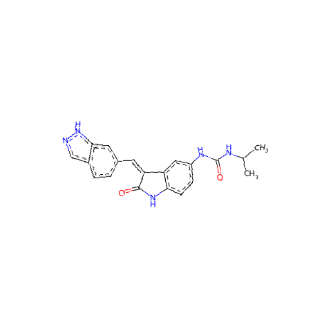 CC(C)NC(=O)Nc1ccc2c(c1)C(=Cc1ccc3cn[nH]c3c1)C(=O)N2